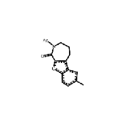 CC(=O)N1CCCc2c(oc3ccc(C)cc23)C1=O